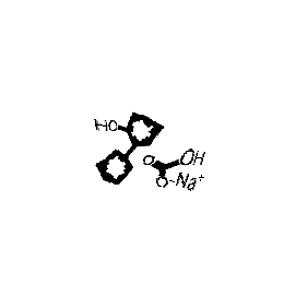 O=C([O-])O.Oc1ccccc1-c1ccccc1.[Na+]